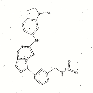 CC(=O)N1CCc2ccc(Nc3ncc4ccc(-c5cccc(CN[SH](=O)=O)c5)n4n3)cc21